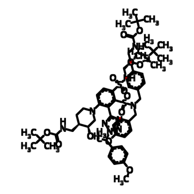 COc1ccc(CN(Cc2ccc(OC)cc2)S(=O)(=O)c2c(S(=O)(=O)NC[C@@H](CNC(=O)OC(C)(C)C)O[Si](C)(C)C(C)(C)C)ccc(N3CC[C@H](CNC(=O)OC(C)(C)C)[C@H](O)C3)c2-c2nnn(Cc3ccc(OC)cc3)n2)cc1